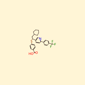 O=C(O)c1ccc(S[C@@H](CC2CCCCC2)c2ccc(-c3ccc(C(F)(F)F)cc3)nc2)cc1